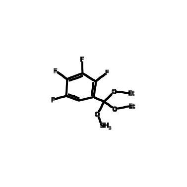 CCOC(O[SiH3])(OCC)c1cc(F)c(F)c(F)c1F